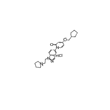 Cl.O=c1cc(OCC2CCCC2)ccn1-c1ccc2c(cnn2CCN2CCCC2)c1